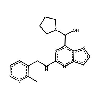 Cc1ncccc1CNc1nc(C(O)N2CCCC2)c2sccc2n1